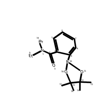 CCN(C(=O)c1ccccc1B1OC(C)(C)C(C)(C)O1)C(C)C